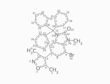 Cc1noc(C)c1-c1cc(Br)c2c(c1)n(C(c1ccccc1)(c1ccccc1)c1ccccc1)c(=O)n2C